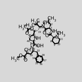 CCC[C@@H](NC(=O)[C@@H]1CCCCN1C)C(=O)N(C)[C@H](C[C@@H](OC(C)=O)[C@H]1N[C@@H]([C@@H](O)N[C@@H](Cc2ccccc2)C[C@H](C)C(=O)OC)CS1)C(C)C